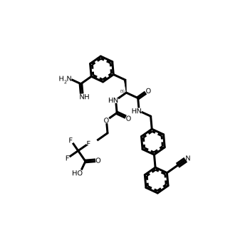 CCOC(=O)N[C@@H](Cc1cccc(C(=N)N)c1)C(=O)NCc1ccc(-c2ccccc2C#N)cc1.O=C(O)C(F)(F)F